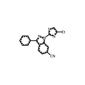 CCc1csc(-n2nc(-c3ccccc3)c3ccc(C#N)cc32)n1